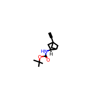 C#CC12CC(C1)[C@H](NC(=O)OC(C)(C)C)C2